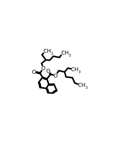 CCCCC(CC)COC(=O)c1ccc2ccccc2c1C(=O)OCC(CC)CCCC